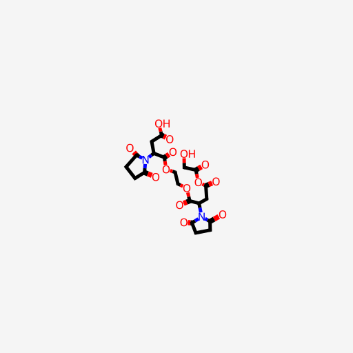 O=C(O)CC(C(=O)OCCOC(=O)C(CC(=O)OC(=O)CO)N1C(=O)CCC1=O)N1C(=O)CCC1=O